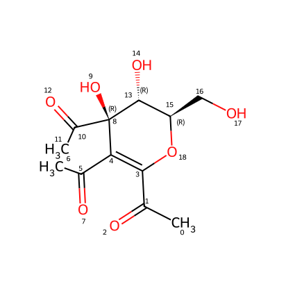 CC(=O)C1=C(C(C)=O)[C@](O)(C(C)=O)[C@H](O)[C@@H](CO)O1